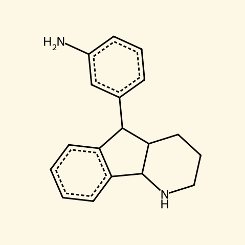 Nc1cccc(C2c3ccccc3C3NCCCC32)c1